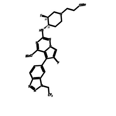 COCCN1CC[C@H](Nc2nc(OC)c3c(-c4ccc5nnn(CC(F)(F)F)c5c4)c(F)cn3n2)[C@@H](F)C1